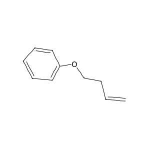 C=CCCOc1ccccc1